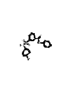 O=C(Nc1ccccc1)c1cccc(S(=O)(=O)Nc2ccc(Br)cc2)c1